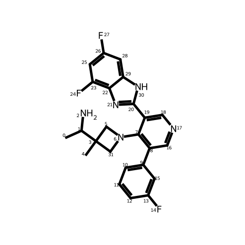 CC(N)C1(C)CN(c2c(-c3cccc(F)c3)cncc2-c2nc3c(F)cc(F)cc3[nH]2)C1